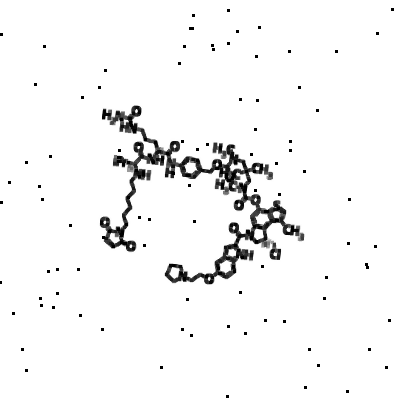 Cc1csc2c(OC(=O)N(C)CC(C)(C)CN(C)C(=O)OCc3ccc(NC(=O)[C@H](CCCNC(N)=O)NC(=O)[C@@H](NCCCCCCN4C(=O)C=CC4=O)C(C)C)cc3)cc3c(c12)[C@H](CCl)CN3C(=O)c1cc2cc(OCCN3CCCC3)ccc2[nH]1